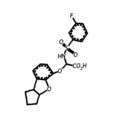 O=C(O)C(NS(=O)(=O)c1cccc(F)c1)Oc1cccc2c1OC1CCCC21